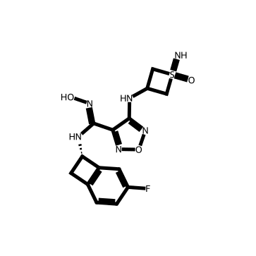 N=S1(=O)CC(Nc2nonc2/C(=N/O)N[C@H]2Cc3ccc(F)cc32)C1